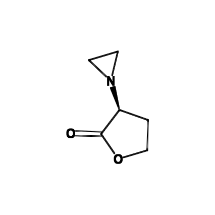 O=C1OCC[C@@H]1N1CC1